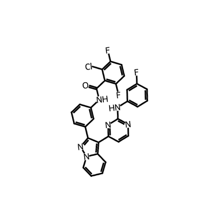 O=C(Nc1cccc(-c2nn3ccccc3c2-c2ccnc(Nc3cccc(F)c3)n2)c1)c1c(F)ccc(F)c1Cl